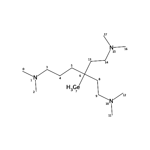 CN(C)CCC[C]([GeH3])(CCN(C)C)CCN(C)C